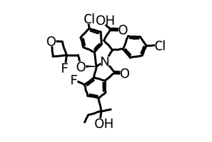 CCC(C)(O)c1cc(F)c2c(c1)C(=O)N(C(CC(=O)O)c1ccc(Cl)cc1)[C@@]2(OCC1(F)COC1)c1ccc(Cl)cc1